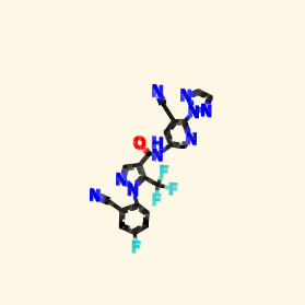 N#Cc1cc(F)ccc1-n1ncc(C(=O)Nc2cnc(-n3nccn3)c(C#N)c2)c1C(F)(F)F